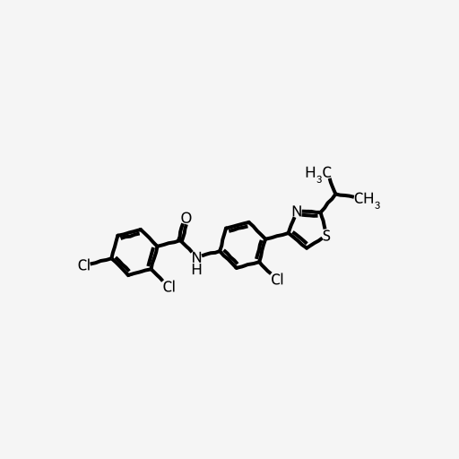 CC(C)c1nc(-c2ccc(NC(=O)c3ccc(Cl)cc3Cl)cc2Cl)cs1